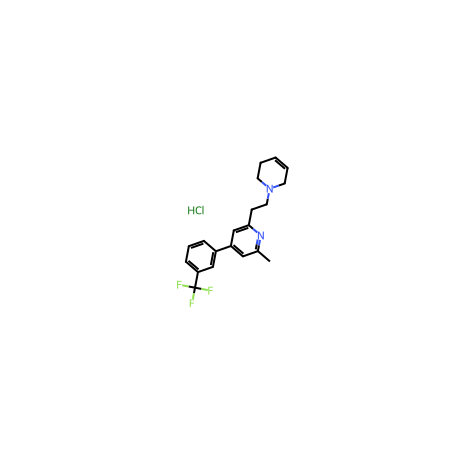 Cc1cc(-c2cccc(C(F)(F)F)c2)cc(CCN2CC=CCC2)n1.Cl